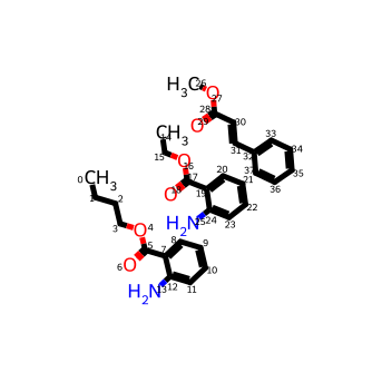 CCCCOC(=O)c1ccccc1N.CCOC(=O)c1ccccc1N.COC(=O)C=Cc1ccccc1